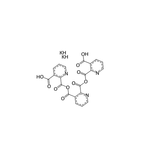 O=C(O)c1cccnc1C(=O)OC(=O)c1cccnc1C(=O)OC(=O)c1ncccc1C(=O)O.[KH].[KH]